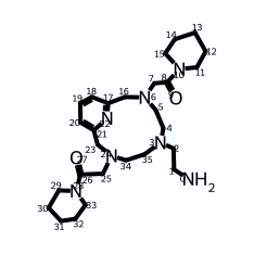 NCCN1CCN(CC(=O)N2CCCCC2)Cc2cccc(n2)CN(CC(=O)N2CCCCC2)CC1